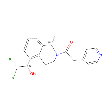 C[C@H]1c2cccc([C@H](O)C(F)F)c2CCN1C(=O)Cc1ccncc1